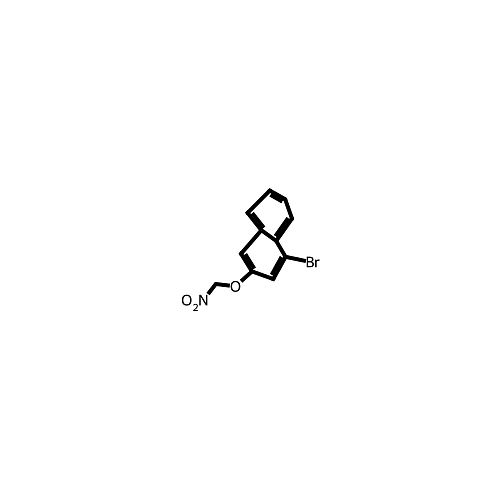 O=[N+]([O-])COc1cc(Br)c2ccccc2c1